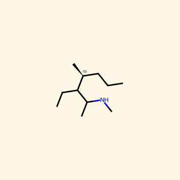 CCC[C@H](C)C(CC)C(C)NC